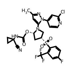 Cc1cc(N2C[C@H](S(=O)(=O)c3ccc(F)cc3C(F)(F)F)C[C@@H]2OC(=O)NC2(C#N)CC2)n(-c2ccnc(Cl)c2)n1